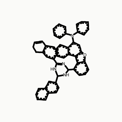 C1=Cc2ccc(C3=NC(c4cccc5oc6cc(N(c7ccccc7)c7ccccc7)c7ccccc7c6c45)NC(c4ccc5ccccc5c4)N3)cc2CC1